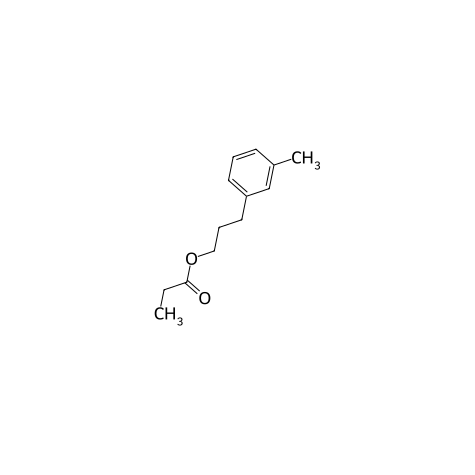 CCC(=O)OCCCc1cccc(C)c1